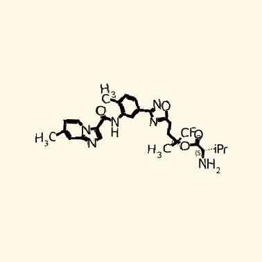 Cc1ccn2c(C(=O)Nc3cc(-c4noc(CC[C@@](C)(OC(=O)[C@@H](N)C(C)C)C(F)(F)F)n4)ccc3C)cnc2c1